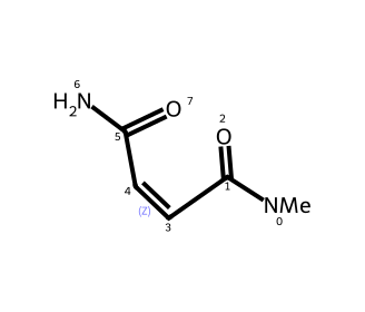 CNC(=O)/C=C\C(N)=O